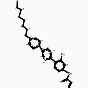 C=CC(=O)Oc1ccc(-c2ncc(-c3ccc(CCCCCCCC)cc3)cn2)c(F)c1